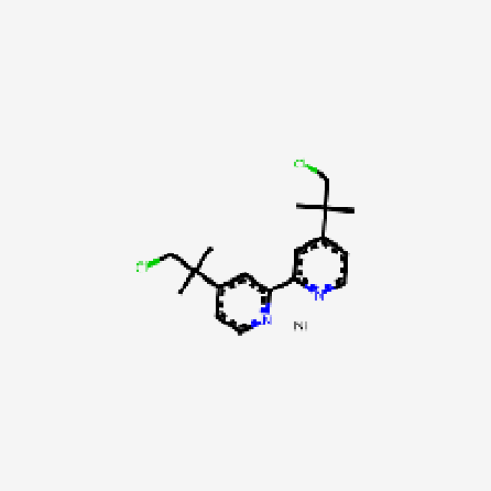 CC(C)(CCl)c1ccnc(-c2cc(C(C)(C)CCl)ccn2)c1.[Ni]